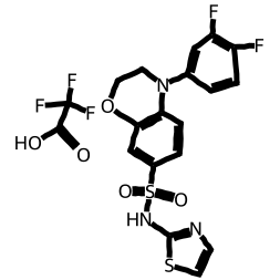 O=C(O)C(F)(F)F.O=S(=O)(Nc1nccs1)c1ccc2c(c1)OCCN2c1ccc(F)c(F)c1